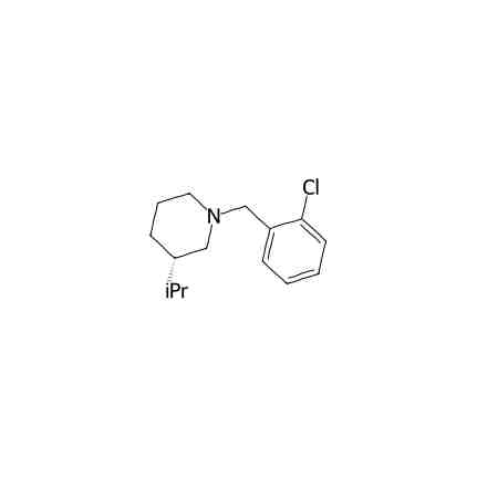 CC(C)[C@@H]1CCCN(Cc2ccccc2Cl)C1